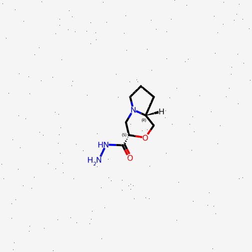 NNC(=O)[C@@H]1CN2CCC[C@@H]2CO1